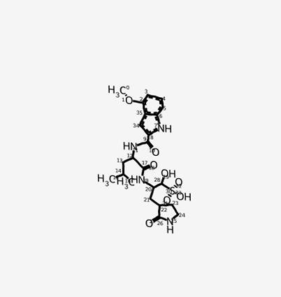 COc1cccc2[nH]c(C(=O)NC(CC(C)C)C(=O)NC(CC3CCNC3=O)C(O)S(=O)(=O)O)cc12